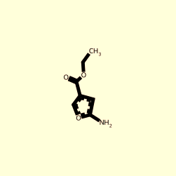 CCOC(=O)c1coc(N)c1